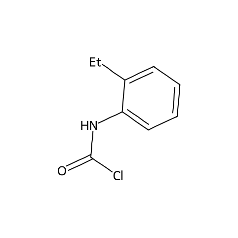 CCc1ccccc1NC(=O)Cl